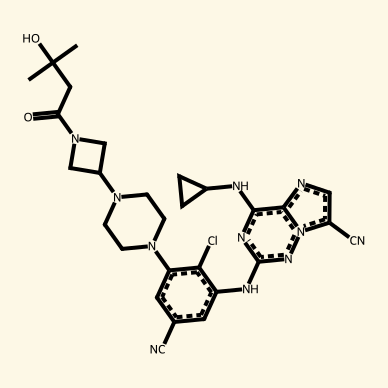 CC(C)(O)CC(=O)N1CC(N2CCN(c3cc(C#N)cc(Nc4nc(NC5CC5)c5ncc(C#N)n5n4)c3Cl)CC2)C1